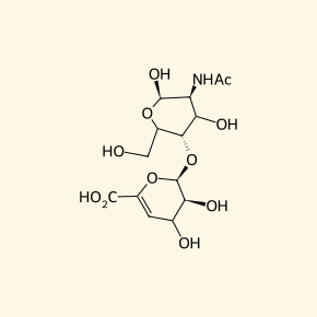 CC(=O)N[C@H]1C(O)[C@H](O[C@@H]2OC(C(=O)O)=CC(O)[C@@H]2O)C(CO)O[C@H]1O